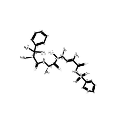 CN[C@H](C(=O)N[C@H](C(=O)N(C)[C@H](C=C(C)C(=O)NS(=O)(=O)c1cccnc1)C(C)C)C(C)(C)C)C(C)(C)c1ccccc1